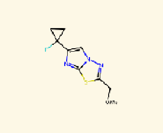 COCc1nn2cc(C3(F)CC3)nc2s1